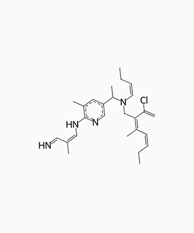 C=C(Cl)/C(CN(/C=C\CC)C(C)c1cnc(N/C=C(/C)C=N)c(C)c1)=C(C)\C=C/CC